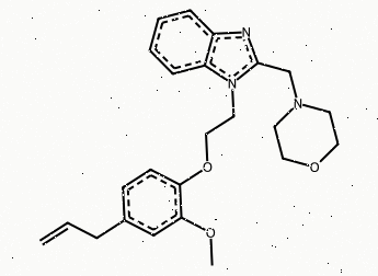 C=CCc1ccc(OCCn2c(CN3CCOCC3)nc3ccccc32)c(OC)c1